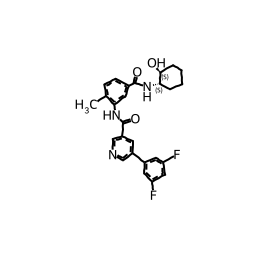 Cc1ccc(C(=O)N[C@H]2CCCC[C@@H]2O)cc1NC(=O)c1cncc(-c2cc(F)cc(F)c2)c1